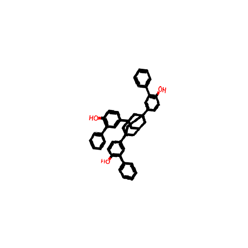 Oc1ccc(C23CC4CC(c5ccc(O)c(-c6ccccc6)c5)(C2)CC(c2ccc(O)c(-c5ccccc5)c2)(C4)C3)cc1-c1ccccc1